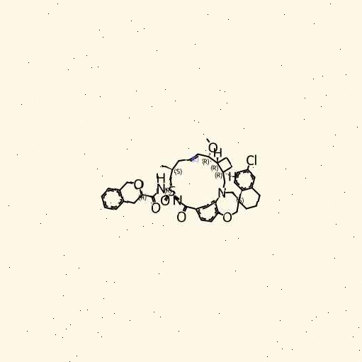 CO[C@H]1/C=C/C[C@H](C)C[S@@](=O)(NC(=O)[C@H]2Cc3ccccc3CO2)=NC(=O)c2ccc3c(c2)N(C[C@@H]2CC[C@H]21)C[C@@]1(CCCc2cc(Cl)ccc21)CO3